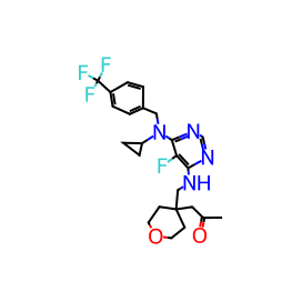 CC(=O)CC1(CNc2ncnc(N(Cc3ccc(C(F)(F)F)cc3)C3CC3)c2F)CCOCC1